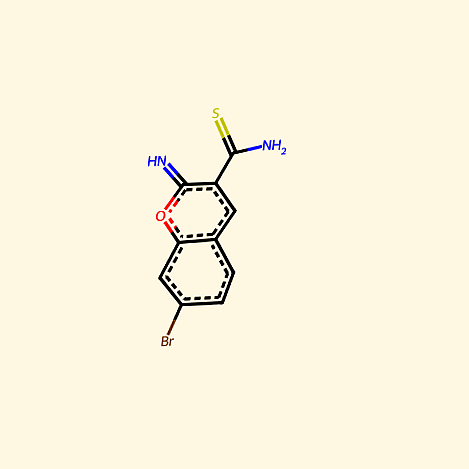 N=c1oc2cc(Br)ccc2cc1C(N)=S